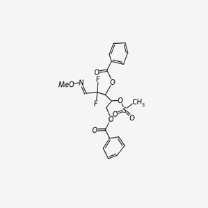 CON=CC(F)(F)C(OC(=O)c1ccccc1)C(COC(=O)c1ccccc1)OS(C)(=O)=O